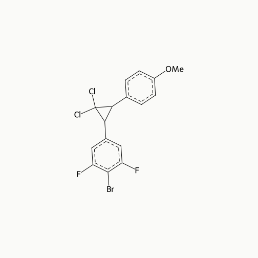 COc1ccc(C2C(c3cc(F)c(Br)c(F)c3)C2(Cl)Cl)cc1